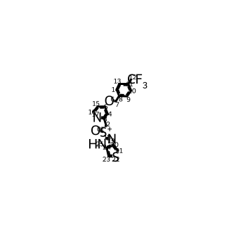 [O-][S+](Cc1cc(OCc2ccc(C(F)(F)F)cc2)ccn1)c1nc2cscc2[nH]1